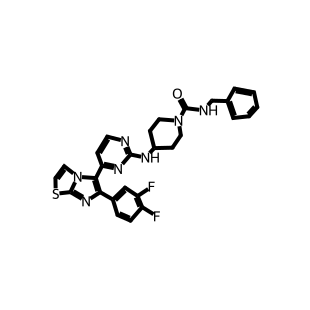 O=C(NCc1ccccc1)N1CCC(Nc2nccc(-c3c(-c4ccc(F)c(F)c4)nc4sccn34)n2)CC1